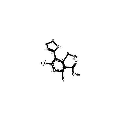 COC(=O)c1c(F)nc(C(F)(F)F)c(C2=NCCS2)c1CC(C)C